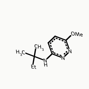 CCC(C)(C)Nc1ccc(OC)nn1